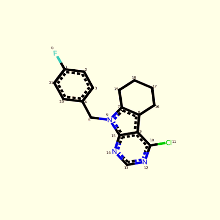 Fc1ccc(Cn2c3c(c4c(Cl)ncnc42)CCCC3)cc1